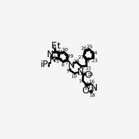 CCc1nn(C(C)C)c2cc(N3CCN(C(=O)Cc4cnco4)C(Cc4ccccc4)C3)ccc12